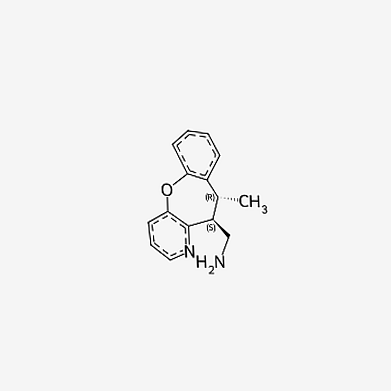 C[C@H]1c2ccccc2Oc2cccnc2[C@@H]1CN